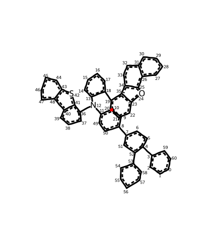 c1ccc(-c2ccc(-c3ccc(N(c4ccccc4-c4cccc5oc6c7ccccc7ccc6c45)c4cccc5c4sc4ccccc45)cc3)cc2-c2ccccc2)cc1